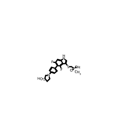 CP(=O)(O)CSc1c[nH]c2cc(F)c(-c3ccc(N4CC[C@H](O)C4)cc3)c(F)c12